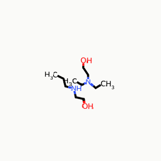 CCCNCCO.CCN(CC)CCO